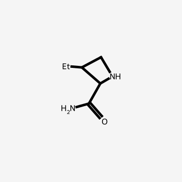 CCC1CNC1C(N)=O